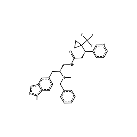 CN(Cc1ccccc1)[C@H](CNC(=O)C[C@H](c1cccnc1)C1(C(F)(F)F)CC1)Cc1ccc2[nH]ncc2c1